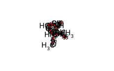 COc1ccc(Cc2ccc([C@@H](O)CN[C@H](C)Cc3ccccc3)cc2NC(=O)CO)cc1.C[C@H](Cc1ccccc1)NC[C@H](O)c1ccc(O)c(C(N)=O)c1